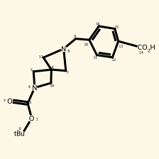 CC(C)(C)OC(=O)N1CC2(CN(Cc3ccc(C(=O)O)cc3)C2)C1